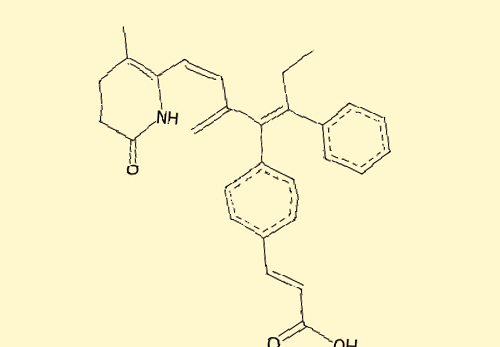 C=C(/C=C\C1=C(C)CCC(=O)N1)/C(=C(\CC)c1ccccc1)c1ccc(/C=C/C(=O)O)cc1